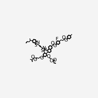 C=CCC(C)c1ccc2nc(C#Cc3nnc(-c4cc(OCCCOC(=O)C(=C)C)cc(OCCOC(=O)C=C)c4-c4ccc5cc(C(=O)Oc6ccc(CCC(=O)Oc7ccc(C)cc7)c(F)c6)ccc5c4)s3)sc2c1